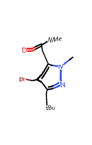 CNC(=O)c1c(Br)c(C(C)(C)C)nn1C